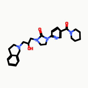 O=C(c1ccc(N2CCN(CC(O)CN3CCc4ccccc4C3)C2=O)nc1)N1CCCCC1